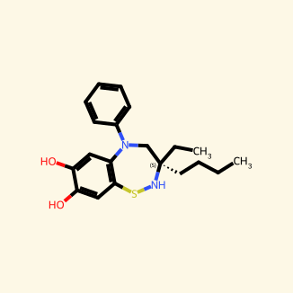 CCCC[C@@]1(CC)CN(c2ccccc2)c2cc(O)c(O)cc2SN1